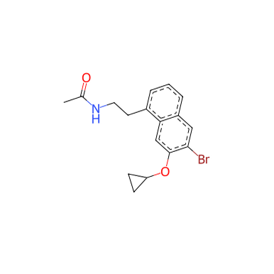 CC(=O)NCCc1cccc2cc(Br)c(OC3CC3)cc12